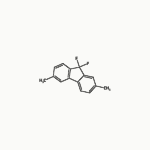 Cc1ccc2c(c1)-c1ccc(C)cc1C2(F)F